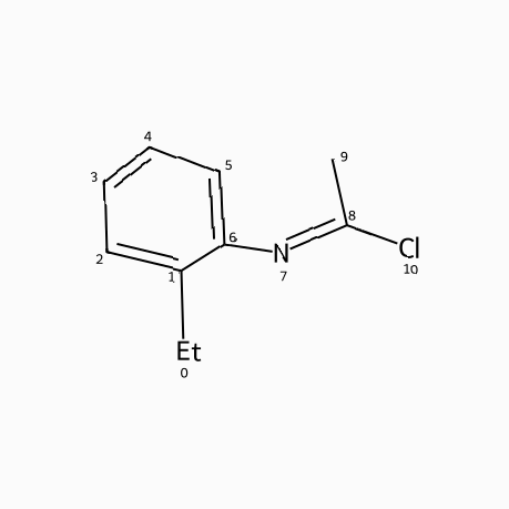 CCc1ccccc1/N=C(\C)Cl